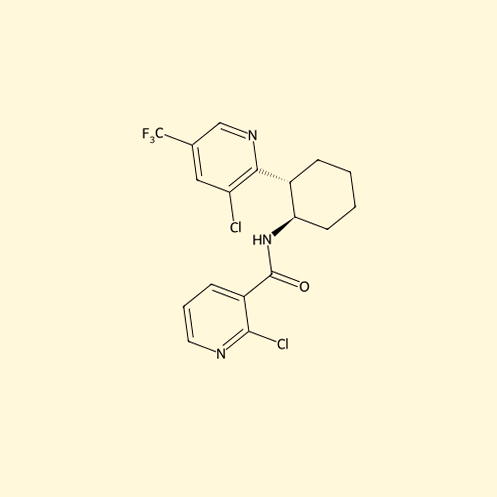 O=C(N[C@@H]1CCCC[C@H]1c1ncc(C(F)(F)F)cc1Cl)c1cccnc1Cl